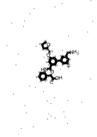 NCc1cc(F)cc(-c2cc(OC[C@H]3CCCO3)cc(C(=O)Nc3ccccc3CC(=O)O)c2)c1